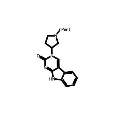 CCCCCN1CCC(n2cc3c(nc2=O)[nH]c2ccccc23)C1